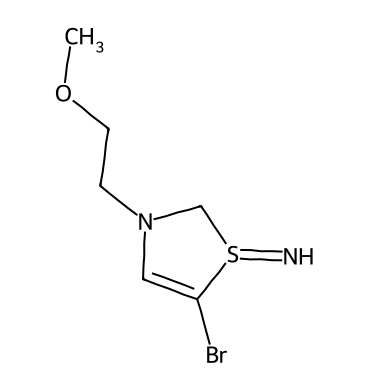 COCCN1C=C(Br)S(=N)C1